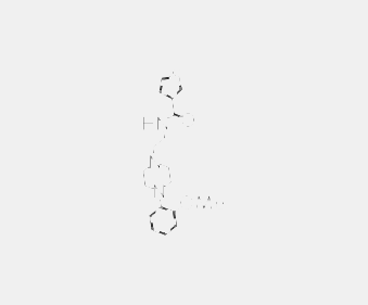 COc1ccccc1N1CCN(CCNC(=O)c2ccsc2)CC1